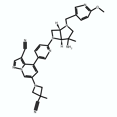 COc1ccc(CN2CC(C)(N)[C@H]3[C@@H]2CN3c2ccc(-c3cc(N4CC(C)(C#N)C4)cn4ncc(C#N)c34)cn2)cn1